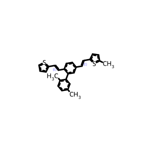 Cc1ccc(C)c(-c2cc(/C=C/c3ccc(C)s3)ccc2/C=C/c2cccs2)c1